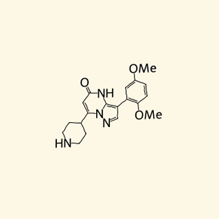 COc1ccc(OC)c(-c2cnn3c(C4CCNCC4)cc(=O)[nH]c23)c1